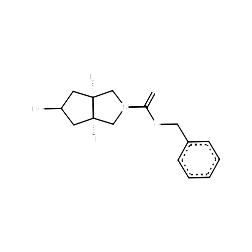 O=C(OCc1ccccc1)N1C[C@H]2CC(O)C[C@H]2C1